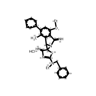 CCOc1cc(-c2ccccc2)c(C)c2c1C(=N)N1C2C12SC(N(CC)Cc1ccccc1)=NC2=N.Cl